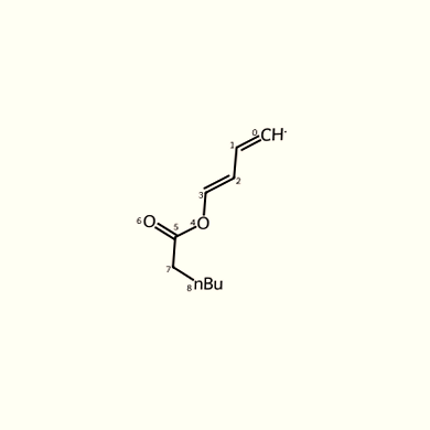 [CH]=CC=COC(=O)CCCCC